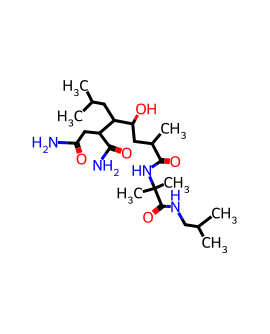 CC(C)CNC(=O)C(C)(C)NC(=O)C(C)CC(O)C(CC(C)C)C(CC(N)=O)C(N)=O